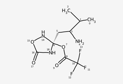 CC(C)C(N)C[C@@]1(OC(=O)C(F)(F)F)NOC(=O)N1